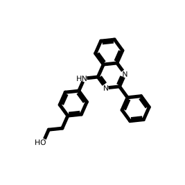 OCCc1ccc(Nc2nc(-c3ccccc3)nc3ccccc23)cc1